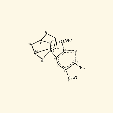 COc1cc(F)c(C=O)cc1C12CC3CC(CC(C3)C1)C2